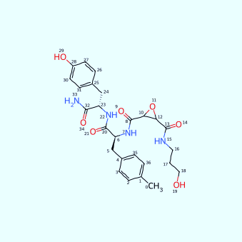 Cc1ccc(C[C@H](NC(=O)C2OC2C(=O)NCCCO)C(=O)N[C@@H](Cc2ccc(O)cc2)C(N)=O)cc1